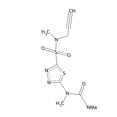 C#CCN(C)S(=O)(=O)c1nnc(N(C)C(=O)NC)s1